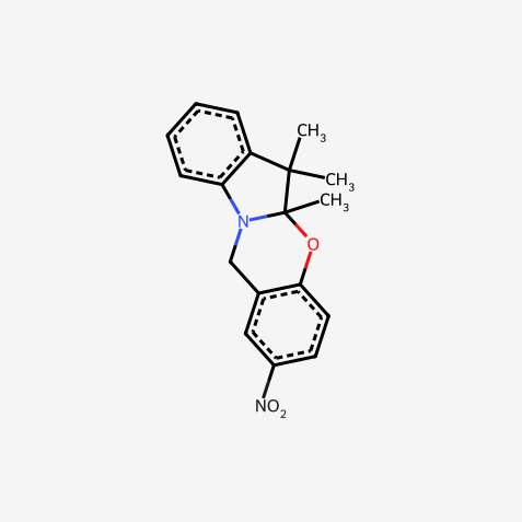 CC1(C)c2ccccc2N2Cc3cc([N+](=O)[O-])ccc3OC21C